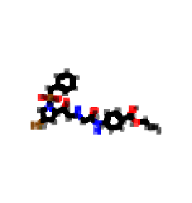 CCOC(=O)c1ccc(NC(=O)CNCC(=O)C2CC(S)CN2S(=O)(=O)Cc2ccccc2)cc1